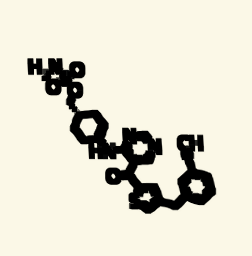 C#Cc1cccc(Cc2csc(C(=O)c3cncnc3NC3=CC[C@@H](COS(N)(=O)=O)CC3)c2)c1